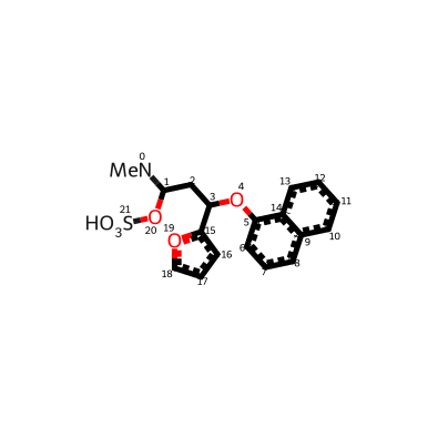 CNC(CC(Oc1cccc2ccccc12)c1ccco1)OS(=O)(=O)O